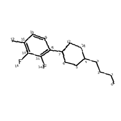 CCCCC1CCC(c2ccc(C)c(F)c2F)CC1